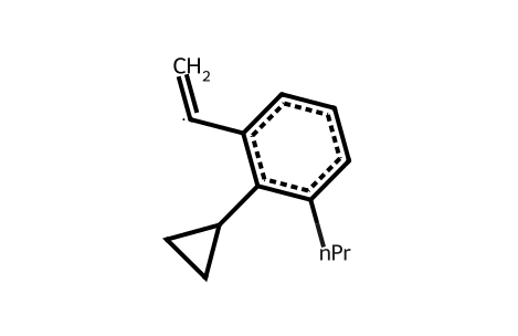 C=[C]c1cccc(CCC)c1C1CC1